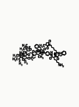 CC[C@H](C)[C@@H]([C@@H](CC(=O)N1CCC[C@H]1[C@H](OC)[C@@H](C)C(=O)N[C@@H](Cc1ccccc1)C(=O)Nc1ccc(NC(=O)[C@H](CCCCN)NC(=O)[C@H](Cc2ccccc2)NC(=O)CCCCCN2C(=O)CC(C)C2=O)cc1)OC)N(C)C(=O)[C@@H](NC(=O)C(C(C)C)N(C)C)C(C)C